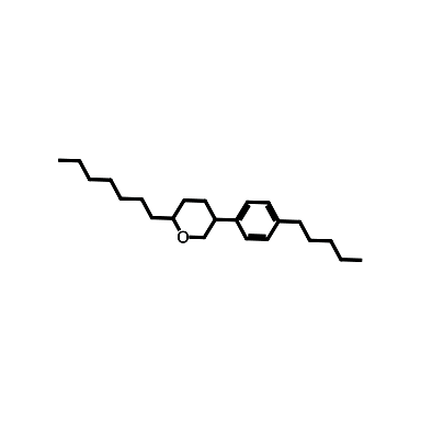 CCCCCCCC1CCC(c2ccc(CCCCC)cc2)CO1